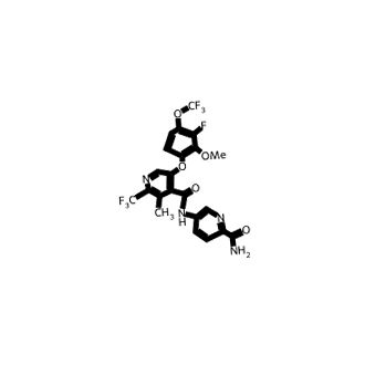 COc1c(Oc2cnc(C(F)(F)F)c(C)c2C(=O)Nc2ccc(C(N)=O)nc2)ccc(OC(F)(F)F)c1F